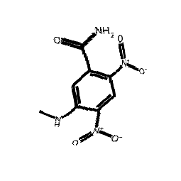 CNc1cc(C(N)=O)c([N+](=O)[O-])cc1[N+](=O)[O-]